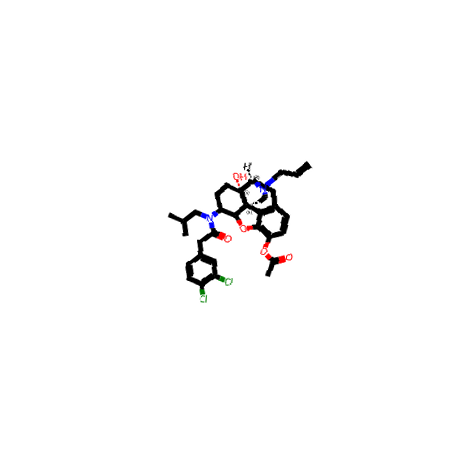 C=CCN1CC[C@]23c4c5ccc(OC(C)=O)c4OC2C(N(CC(C)C)C(=O)Cc2ccc(Cl)c(Cl)c2)CC[C@@]3(O)[C@H]1C5